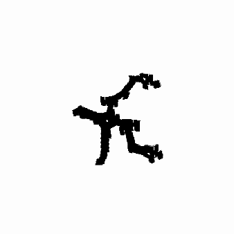 CCCNc1c(NCC)c(=S)c1=S